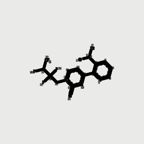 CC[S+]([O-])c1cccnc1-c1ccn(CC(F)(F)C(F)C(F)(F)F)c(=O)n1